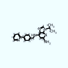 CC(C)n1cnc2c(NCc3ccc(-c4ccccn4)cc3)cc(N)nc21